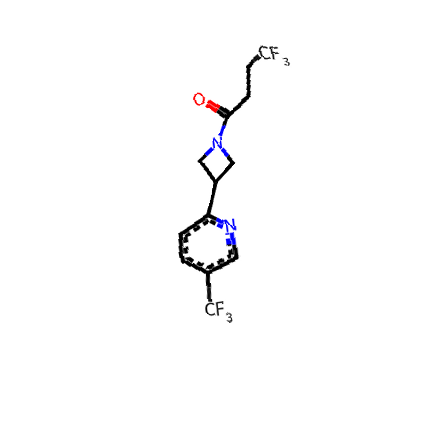 O=C(CCC(F)(F)F)N1CC(c2ccc(C(F)(F)F)cn2)C1